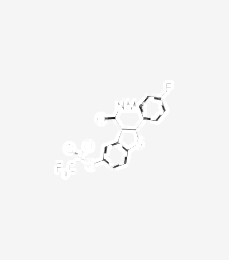 CNC(=O)C1c2cc(OS(=O)(=O)C(F)(F)F)ccc2SC1c1ccc(F)cc1